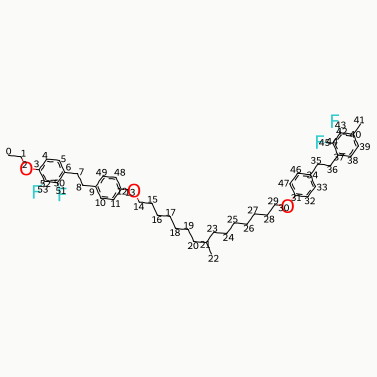 CCOc1ccc(CCc2ccc(OCCCCCCCC(C)CCCCCCCOc3ccc(CCc4ccc(C)c(F)c4F)cc3)cc2)c(F)c1F